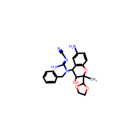 CC1(C2OCCO2)Oc2ccc(N)cc2C(N(Cc2ccccc2)C(N)=NC#N)C1O